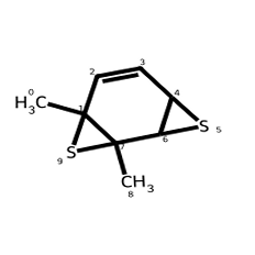 CC12C=CC3SC3C1(C)S2